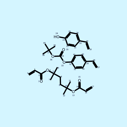 C=CC(=O)OC(C)(C)CCC(C)(C)OC(=O)C=C.C=Cc1ccc(O)cc1.C=Cc1ccc(OC(=O)OC(C)(C)C)cc1